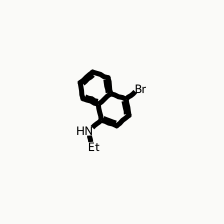 CCNc1ccc(Br)c2ccccc12